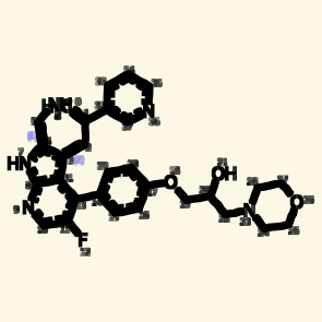 C=C(/C=c1\c(=C/N)[nH]c2ncc(F)c(-c3ccc(OCC(O)CN4CCOCC4)cc3)c12)c1cccnc1